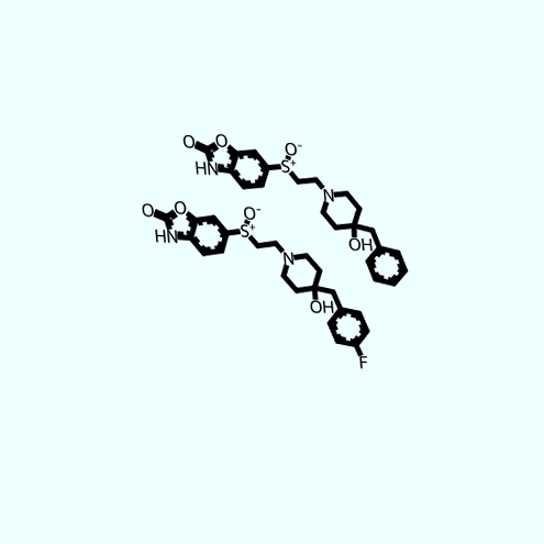 O=c1[nH]c2ccc([S+]([O-])CCN3CCC(O)(Cc4ccc(F)cc4)CC3)cc2o1.O=c1[nH]c2ccc([S+]([O-])CCN3CCC(O)(Cc4ccccc4)CC3)cc2o1